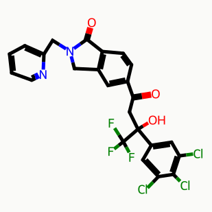 O=C(CC(O)(c1cc(Cl)c(Cl)c(Cl)c1)C(F)(F)F)c1ccc2c(c1)CN(Cc1ccccn1)C2=O